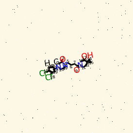 CC1C(=O)N(CCCC(=O)N2CCC3(CC3)[C@H](O)C2)CCN1c1ccc(Cl)c(Cl)c1